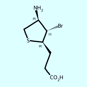 N[C@@H]1CS[C@H](CCC(=O)O)[C@H]1Br